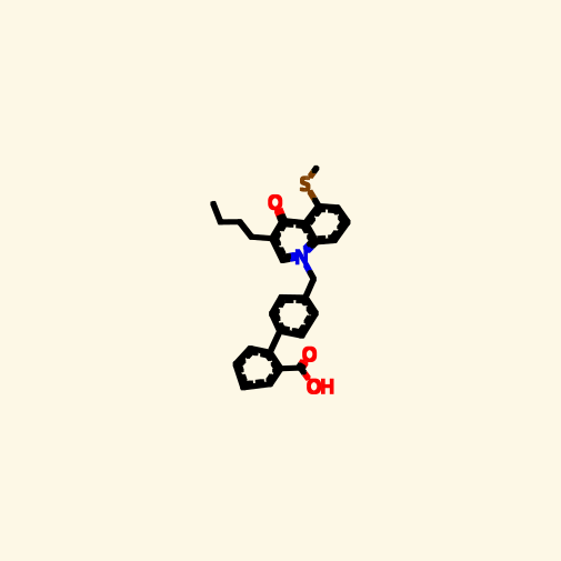 CCCCc1cn(Cc2ccc(-c3ccccc3C(=O)O)cc2)c2cccc(SC)c2c1=O